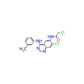 Cc1cccc(Nc2ncnc3cc(Cl)c(NC(=O)CCl)cc23)c1